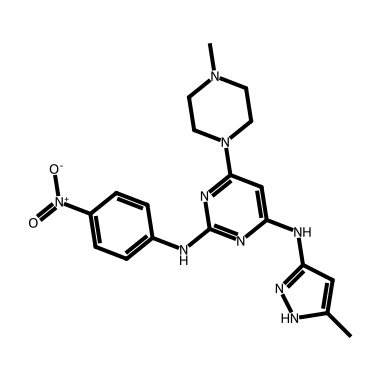 Cc1cc(Nc2cc(N3CCN(C)CC3)nc(Nc3ccc([N+](=O)[O-])cc3)n2)n[nH]1